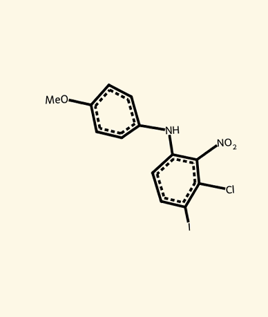 COc1ccc(Nc2ccc(I)c(Cl)c2[N+](=O)[O-])cc1